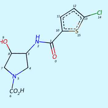 O=C(NC1CN(C(=O)O)CC1O)c1ccc(Cl)s1